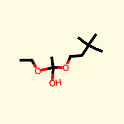 CCOC(C)(O)OCCC(C)(C)C